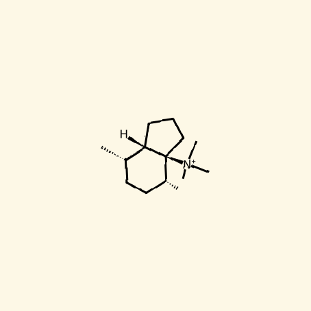 C[C@@H]1CC[C@H](C)[C@@H]2CCC[C@]12[N+](C)(C)C